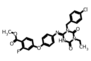 CCn1c(=O)[nH]/c(=N\c2ccc(Oc3ccc(C(=O)OC)c(F)c3)cc2)n(Cc2ccc(Cl)cc2)c1=O